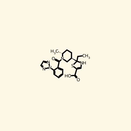 CCC1([C@@H]2CC[C@@H](C)N(C(=O)c3ccccc3-n3nccn3)C2)NC=C(C(=O)O)S1